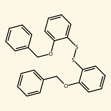 c1ccc(COc2ccccc2SSc2ccccc2OCc2ccccc2)cc1